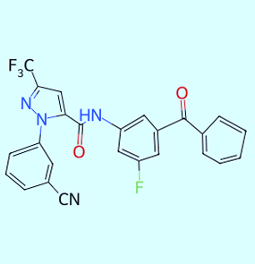 N#Cc1cccc(-n2nc(C(F)(F)F)cc2C(=O)Nc2cc(F)cc(C(=O)c3ccccc3)c2)c1